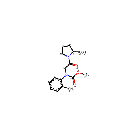 Cc1ccccc1N(CC(=O)N1CCC[C@H]1C(=O)O)C(=O)OC(C)(C)C